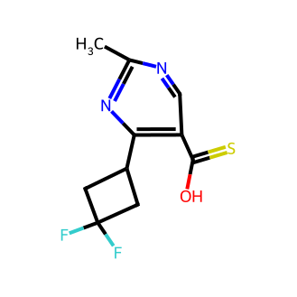 Cc1ncc(C(O)=S)c(C2CC(F)(F)C2)n1